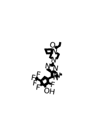 CCC(=O)N1CCN(c2ncc3c(-c4cc(C(F)(F)F)c(F)c(O)c4F)nn(C)c3n2)CC12CCC2